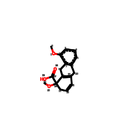 COc1cccc2c1CC1=C(C=CCC1(OC)C(=O)O)C2